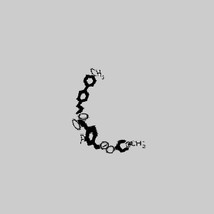 [CH2-][C+]1CCC(OOCc2ccc(C(=O)OCCCC3CCC(C4CCC(C)CC4)CC3)c(F)c2)CC1